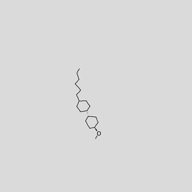 CCCCCCC1CCC([C@H]2CC[C@H](OC)CC2)CC1